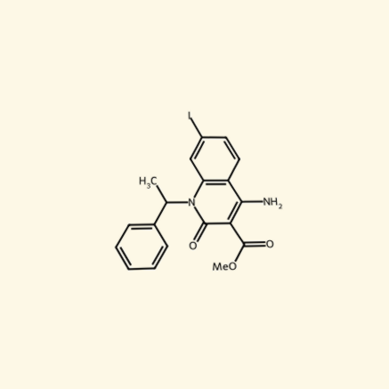 COC(=O)c1c(N)c2ccc(I)cc2n(C(C)c2ccccc2)c1=O